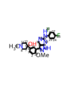 COc1ccc(C2(O)CCN(C)CC2)cc1-c1n[nH]c2nc(Nc3ccc(F)cc3F)ncc12